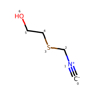 [C-]#[N+]CSCCO